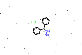 Cl.NNC(c1ccccc1)c1ccccc1